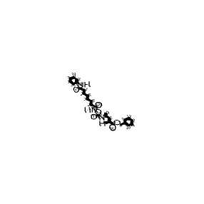 CC(CC(C)C(=O)OCc1ccccc1)NC(=O)ONC(=O)CCCCCCC(=O)Nc1ccccc1